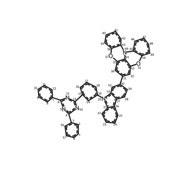 c1ccc(-c2nc(-c3ccccc3)nc(-c3cccc(-n4c5ccccc5c5ccc(-c6cc7c8c(c6)Oc6ccccc6N8c6ccccc6O7)cc54)c3)n2)cc1